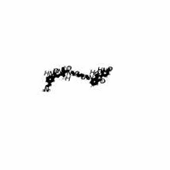 Cc1[nH]c(/C=C2\C(=O)Nc3ccc(CCN(C)C)cc32)c(C)c1C(=O)NCCOCCOCCNc1cccc2c1C(=O)N(C1CCC(=O)NC1=O)C2=O